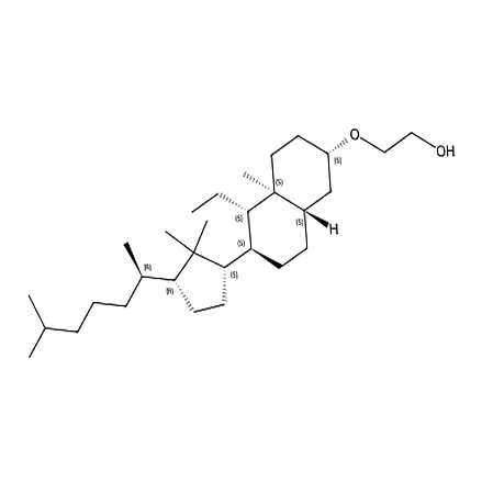 CC[C@H]1[C@H]([C@@H]2CC[C@H]([C@H](C)CCCC(C)C)C2(C)C)CC[C@H]2C[C@@H](OCCO)CC[C@@]21C